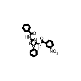 O=C(Nc1nc(NC(=O)c2cccc([N+](=O)[O-])c2)n(-c2ccccc2)n1)c1ccccc1